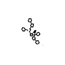 N#Cc1ccc(-c2cccc3c2Oc2ccccc2C32c3ccccc3-c3c(-c4cc(-c5cccc(-c6ccccc6)c5)nc(-c5ccccc5)n4)cccc32)cc1